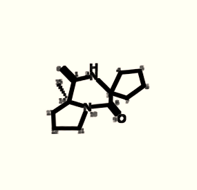 C=C1NC2(CCCC2)C(=O)N2CCC[C@@]12C